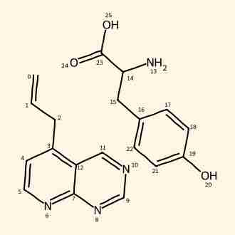 C=CCc1ccnc2ncncc12.NC(Cc1ccc(O)cc1)C(=O)O